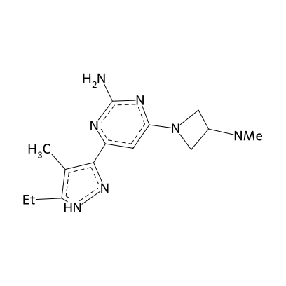 CCc1[nH]nc(-c2cc(N3CC(NC)C3)nc(N)n2)c1C